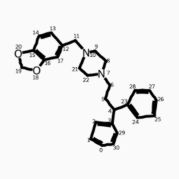 c1ccc(C(CCN2CCN(Cc3ccc4c(c3)OCO4)CC2)c2ccccc2)cc1